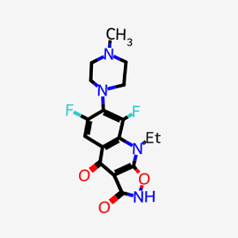 CCn1c2o[nH]c(=O)c2c(=O)c2cc(F)c(N3CCN(C)CC3)c(F)c21